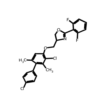 Cc1cc(OCC2COC(c3c(F)cccc3F)=N2)c(Cl)c(C)c1-c1ccc(Cl)cc1